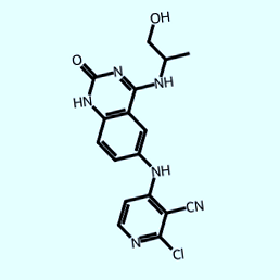 CC(CO)Nc1nc(=O)[nH]c2ccc(Nc3ccnc(Cl)c3C#N)cc12